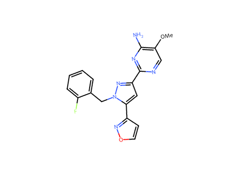 COc1cnc(-c2cc(-c3ccon3)n(Cc3ccccc3F)n2)nc1N